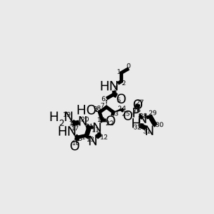 CCCNC(=O)C[C@H]1[C@@H](O)[C@H](n2cnc3c(=O)[nH]c(N)nc32)O[C@@H]1CO[PH](=O)n1ccnc1